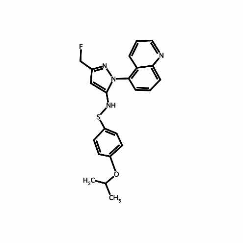 CC(C)Oc1ccc(SNc2cc(CF)nn2-c2cccc3ncccc23)cc1